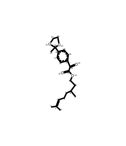 CC(C)=CCCC(C)CCOC(=O)C(=O)c1ccc(C2(C)OCCO2)cc1